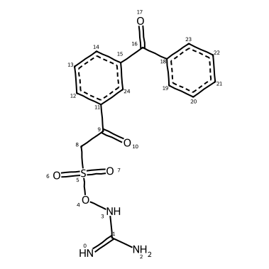 N=C(N)NOS(=O)(=O)CC(=O)c1cccc(C(=O)c2ccccc2)c1